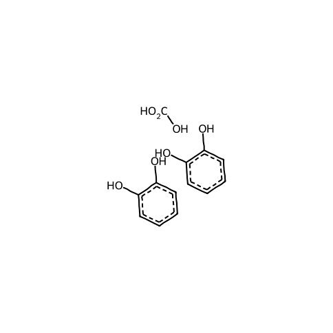 O=C(O)O.Oc1ccccc1O.Oc1ccccc1O